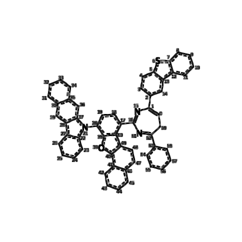 C1=C(c2ccc3sc4ccccc4c3c2)N=C(c2ccc(-n3c4ccccc4c4cc5ccccc5cc43)c3oc4c5ccccc5ccc4c23)N=C(c2ccccc2)C1